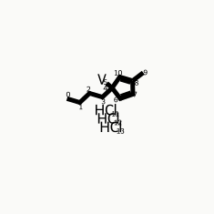 CCCC[C]1([V])C=CC(C)=C1.Cl.Cl.Cl